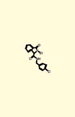 CCN1C(=O)c2cc[c]cc2C1C(=O)NCc1ccc(Cl)cc1